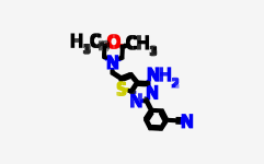 CC1CN(Cc2cc3c(N)nc(-c4cccc(C#N)c4)nc3s2)C[C@H](C)O1